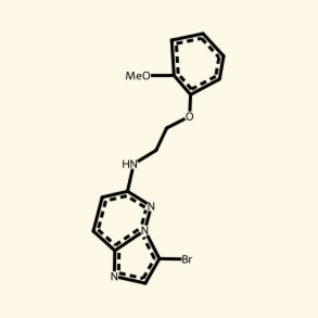 COc1ccccc1OCCNc1ccc2ncc(Br)n2n1